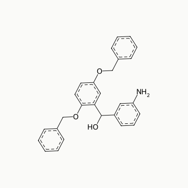 Nc1cccc(C(O)c2cc(OCc3ccccc3)ccc2OCc2ccccc2)c1